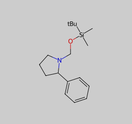 CC(C)(C)[Si](C)(C)OCN1CCCC1c1ccccc1